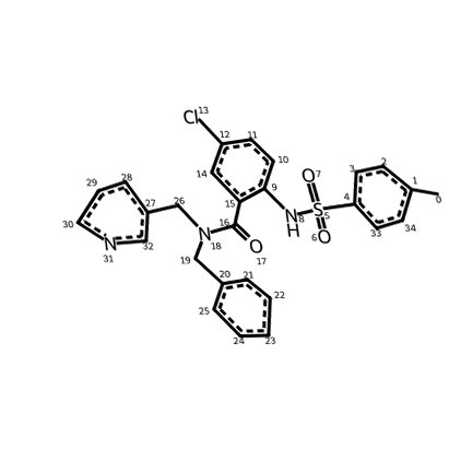 Cc1ccc(S(=O)(=O)Nc2ccc(Cl)cc2C(=O)N(Cc2ccccc2)Cc2cccnc2)cc1